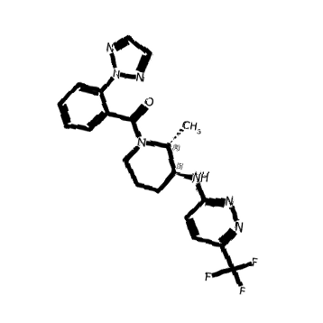 C[C@@H]1[C@@H](Nc2ccc(C(F)(F)F)nn2)CCCN1C(=O)c1ccccc1-n1nccn1